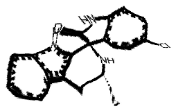 C[C@@H]1Cc2c([nH]c3ccccc23)[C@]2(N1)C(=O)Nc1ccc(Cl)cc12